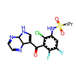 CCCS(=O)(=O)Nc1cc(F)c(F)c(C(=O)C2=CNC3N=CC=NC23)c1Cl